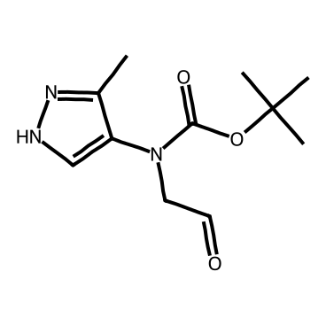 Cc1n[nH]cc1N(CC=O)C(=O)OC(C)(C)C